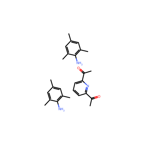 CC(=O)c1cccc(C(C)=O)n1.Cc1cc(C)c(N)c(C)c1.Cc1cc(C)c(N)c(C)c1